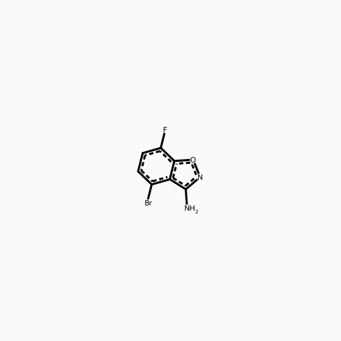 Nc1noc2c(F)ccc(Br)c12